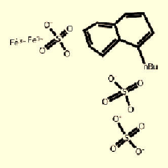 CCCCc1cccc2ccccc12.O=S(=O)([O-])[O-].O=S(=O)([O-])[O-].O=S(=O)([O-])[O-].[Fe+3].[Fe+3]